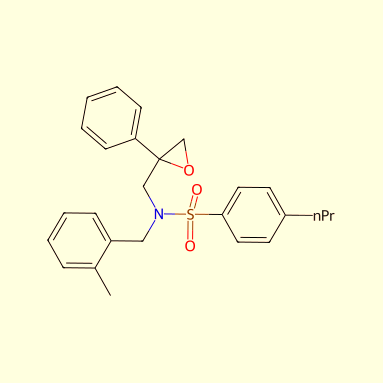 CCCc1ccc(S(=O)(=O)N(Cc2ccccc2C)CC2(c3ccccc3)CO2)cc1